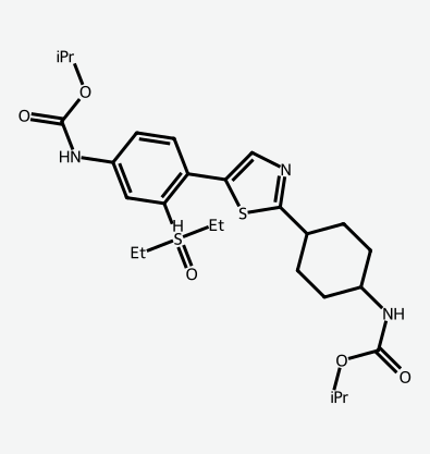 CC[SH](=O)(CC)c1cc(NC(=O)OC(C)C)ccc1-c1cnc(C2CCC(NC(=O)OC(C)C)CC2)s1